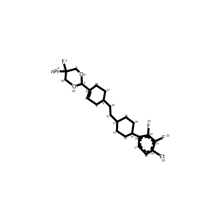 CCCC1(F)COC(C2=CCC(CCC3CCC(c4ccc(CC)c(F)c4F)CC3)CC2)OC1